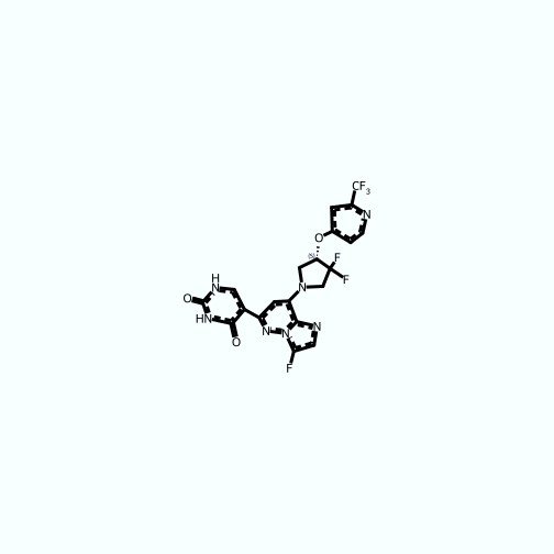 O=c1[nH]cc(-c2cc(N3C[C@H](Oc4ccnc(C(F)(F)F)c4)C(F)(F)C3)c3ncc(F)n3n2)c(=O)[nH]1